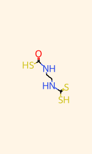 O=C(S)NCCNC(=S)S